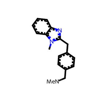 CNCc1ccc(Cc2nc3ccccc3n2C)cc1